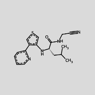 CC(C)C[C@H](Nc1cscc1-c1ccccn1)C(=O)NCC#N